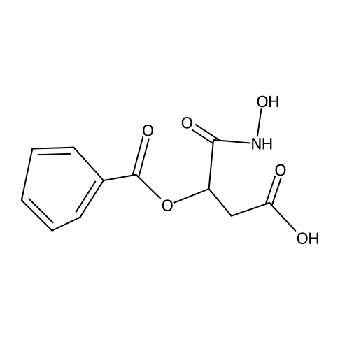 O=C(O)CC(OC(=O)c1ccccc1)C(=O)NO